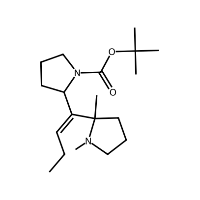 CC/C=C(/C1CCCN1C(=O)OC(C)(C)C)C1(C)CCCN1C